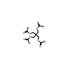 O=C(Br)OCC(COC(=O)Br)(COC(=O)Br)COC(=O)Br